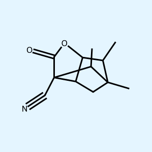 CC1C2OC(=O)C3(C#N)C2CC1(C)C3C